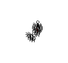 [2H]C([2H])([2H])Oc1cc2c(cc1OC([2H])([2H])[2H])C([2H])([2H])C(C([2H])([2H])C1([2H])C([2H])([2H])C([2H])([2H])N(C([2H])([2H])c3ccccc3)C([2H])([2H])C1([2H])[2H])C2=O